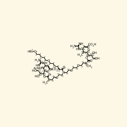 CCCCOCCOCCOCCOCCC(=O)N(CCOCCOCCN(C)C(=O)O[C@@H]([C@@H]1OC(C(=O)O)=C[C@H](NC(=N)N)[C@H]1C)[C@H](O)CO)CCOCCN(C)C(=O)O[C@@H]([C@@H]1OC(C(=O)O)=C[C@H](NC(=N)N)[C@H]1NC(C)=O)[C@H](O)CO